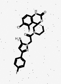 Nc1cc(-c2ccc(F)cc2)nn1CC(=O)N1CCC[C@@]2(C1)OC(=O)Nc1ccc(Cl)c(F)c12